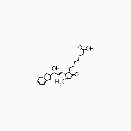 CC1=CC(=O)[C@H](CCCCCCC(=O)O)[C@H]1C=C[C@@H](O)C1Cc2ccccc2C1